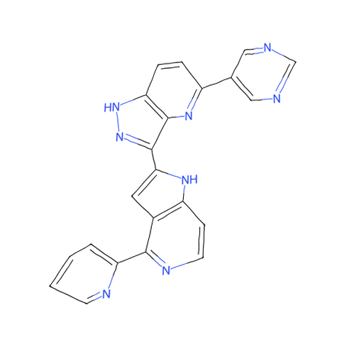 c1ccc(-c2nccc3[nH]c(-c4n[nH]c5ccc(-c6cncnc6)nc45)cc23)nc1